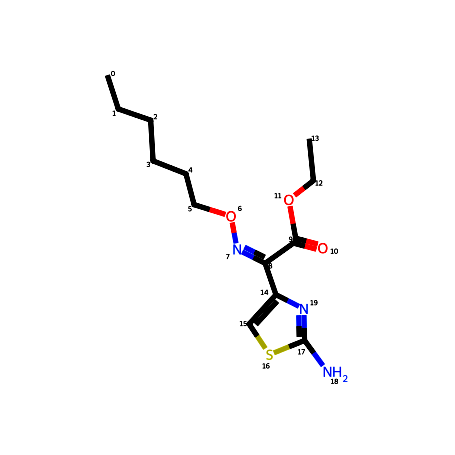 CCCCCCON=C(C(=O)OCC)c1csc(N)n1